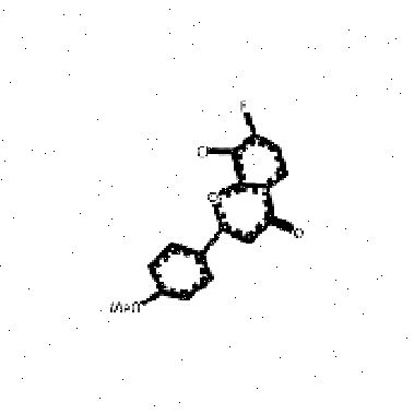 COc1ccc(-c2cc(=O)c3ccc(F)c(Cl)c3o2)cc1